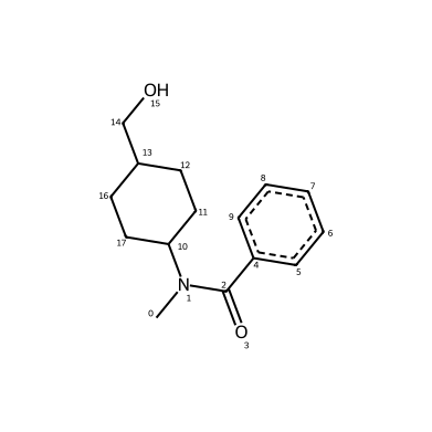 CN(C(=O)c1ccccc1)C1CCC(CO)CC1